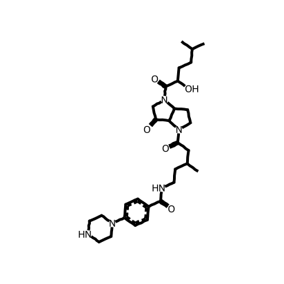 CC(C)CCC(O)C(=O)N1CC(=O)C2C1CCN2C(=O)CC(C)CCNC(=O)c1ccc(N2CCNCC2)cc1